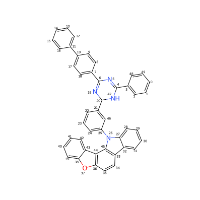 c1ccc(C2=NC(c3ccc(-c4ccccc4)cc3)=NC(c3cccc(-n4c5ccccc5c5ccc6oc7ccccc7c6c54)c3)N2)cc1